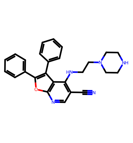 N#Cc1cnc2oc(-c3ccccc3)c(-c3ccccc3)c2c1NCCN1CCNCC1